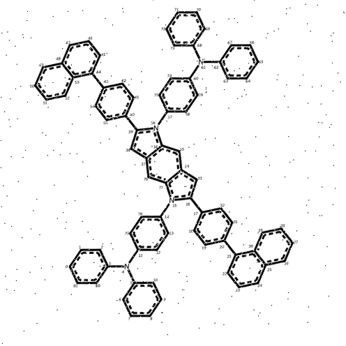 c1ccc(N(c2ccccc2)c2ccc(-n3c(-c4ccc(-c5cccc6ccccc56)cc4)cc4cc5c(cc(-c6ccc(-c7cccc8ccccc78)cc6)n5-c5ccc(N(c6ccccc6)c6ccccc6)cc5)cc43)cc2)cc1